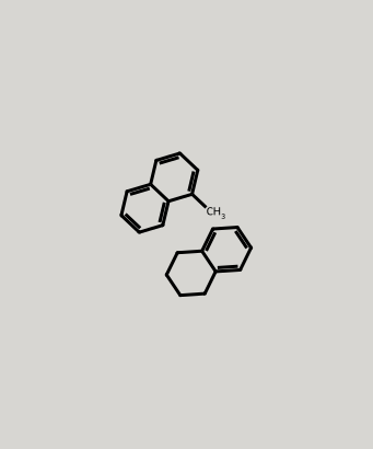 Cc1cccc2ccccc12.c1ccc2c(c1)CCCC2